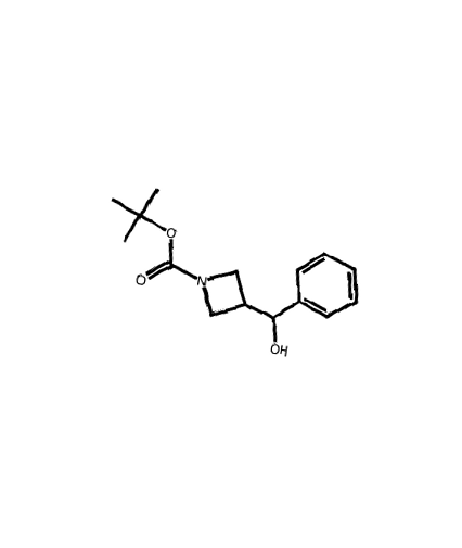 CC(C)(C)OC(=O)N1CC(C(O)c2ccccc2)C1